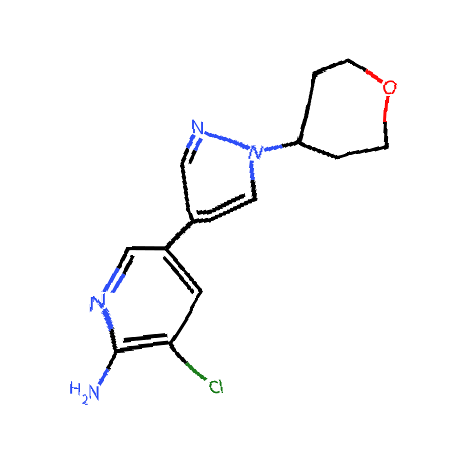 Nc1ncc(-c2cnn(C3CCOCC3)c2)cc1Cl